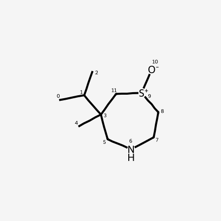 CC(C)C1(C)CNCC[S+]([O-])C1